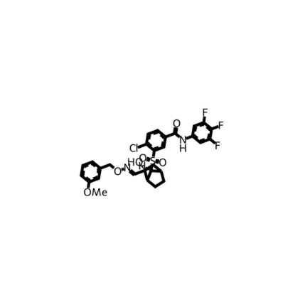 COc1cccc(CO/N=C/[C@@]2(O)CC3CCC2[C@@H]3S(=O)(=O)c2cc(C(=O)Nc3cc(F)c(F)c(F)c3)ccc2Cl)c1